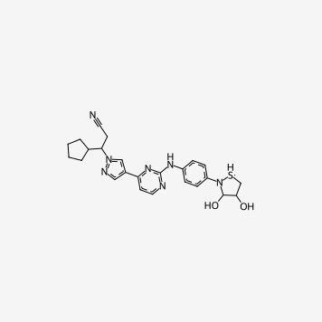 N#CCC(C1CCCC1)n1cc(-c2ccnc(Nc3ccc(N4[SH]CC(O)C4O)cc3)n2)cn1